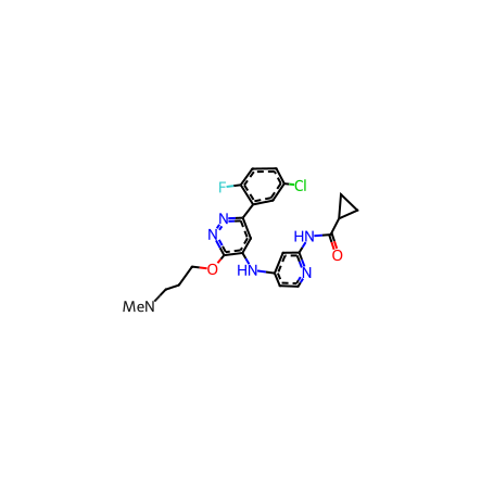 CNCCCOc1nnc(-c2cc(Cl)ccc2F)cc1Nc1ccnc(NC(=O)C2CC2)c1